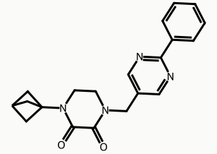 O=C1C(=O)N(C23CC(C2)C3)CCN1Cc1cnc(-c2ccccc2)nc1